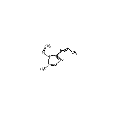 C=Nn1c(C)cnc1/C=C\C